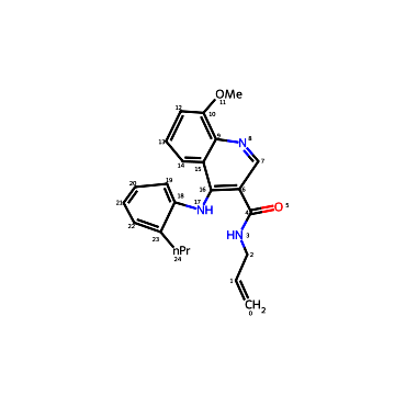 C=CCNC(=O)c1cnc2c(OC)cccc2c1Nc1ccccc1CCC